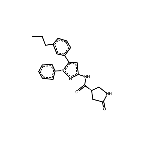 CCCc1cccc(-c2cc(NC(=O)[C@H]3CNC(=O)C3)nn2-c2ccccc2)c1